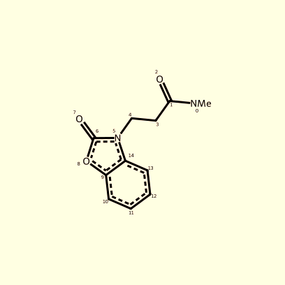 CNC(=O)CCn1c(=O)oc2ccccc21